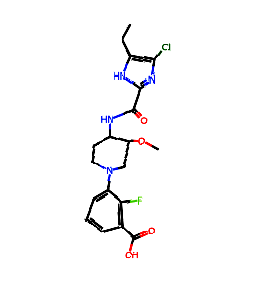 CCc1[nH]c(C(=O)NC2CCN(c3cccc(C(=O)O)c3F)CC2OC)nc1Cl